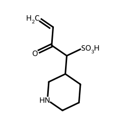 C=CC(=O)C(C1CCCNC1)S(=O)(=O)O